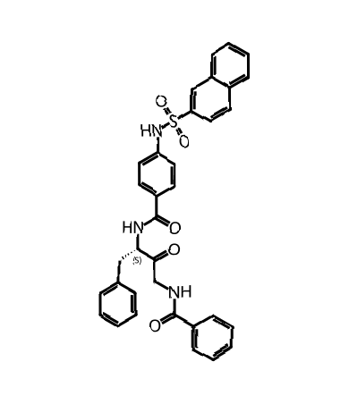 O=C(NCC(=O)[C@H](Cc1ccccc1)NC(=O)c1ccc(NS(=O)(=O)c2ccc3ccccc3c2)cc1)c1ccccc1